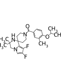 Cc1cc(C(=O)N2CCC3(CC2)NC(C)(C)Cn2cc(F)c(F)c23)ccc1OC(C)C